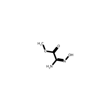 COC(=O)/C(N)=N\O